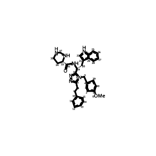 COc1ccc(Cn2c(CCc3ccccc3)nnc2[C@@H](Cc2c[nH]c3ccccc23)NC(=O)[C@@H]2CCNCN2)cc1